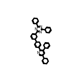 C1=CCC(c2nc(C3=CCCC=C3)nc(C3=CC=CC(C4C=CC(c5ncc(C6C=CCCC6)cc5C5C=CC=CC5)=CC4)C3)n2)C=C1